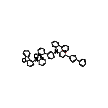 CN(C1=C2c3ccccc3OC2CC=C1)c1ccccc1-c1ccccc1-c1cccc(N(c2ccc(-c3ccc(-c4ccccc4)cc3)cc2)c2ccccc2-c2ccccc2)c1